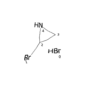 Br.BrC1CN1